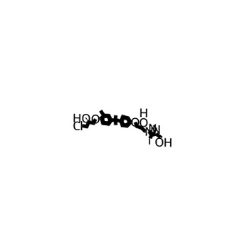 Cc1cc(C(C)(C)c2ccc(OC[C@H](O)Cn3nnc(CO)c3I)cc2)ccc1OC[C@@H](O)CCl